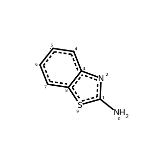 Nc1nc2c[c]ccc2s1